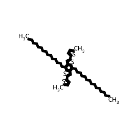 CCCCCCCCCCCCCCCCc1c2cc(-c3ccc(C)s3)sc2c(CCCCCCCCCCCCCCCC)c2cc(-c3ccc(C)s3)sc12